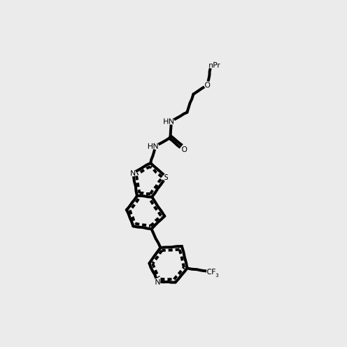 CCCOCCNC(=O)Nc1nc2ccc(-c3cncc(C(F)(F)F)c3)cc2s1